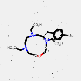 CC(C)(C)c1ccc(C[C@H]2CN(CC(=O)O)CCN(CC(=O)O)CCOCCN2CC(=O)O)cc1